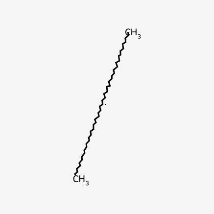 CCCCCCCCCCCCCCCCCCCCCCC[CH]CCCCCCCCCCCCCCCCCCCCCCCC